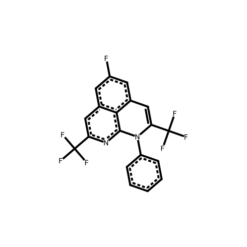 Fc1cc2c3c(nc(C(F)(F)F)cc3c1)N(c1ccccc1)C(C(F)(F)F)=C2